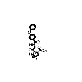 C[C@@]12C[C@@H]1N(C(=O)CNC(=O)c1ccc(Oc3ccccc3)cc1)[C@H](C(=O)O)C2